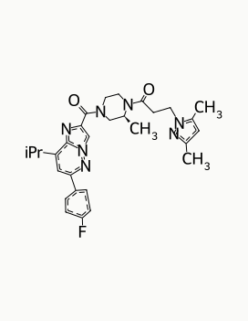 Cc1cc(C)n(CCC(=O)N2CCN(C(=O)c3cn4nc(-c5ccc(F)cc5)cc(C(C)C)c4n3)C[C@@H]2C)n1